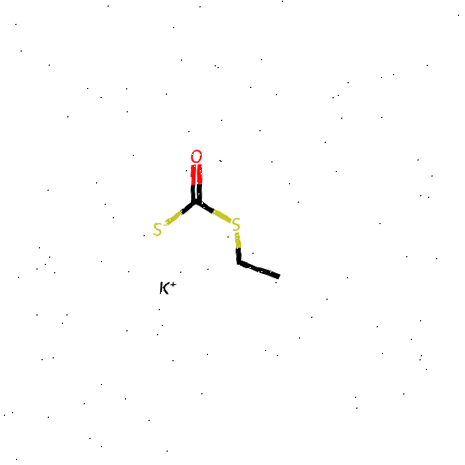 CCSC(=O)[S-].[K+]